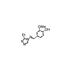 CCc1nncn1/N=C/c1ccc(O)c(OC)c1